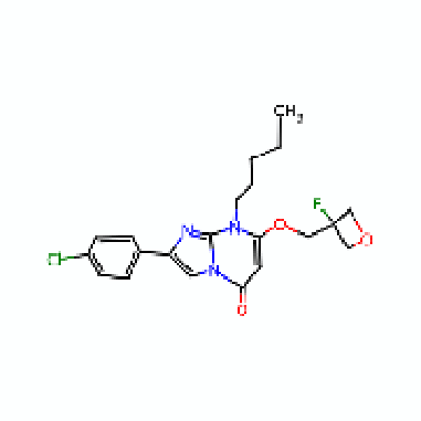 CCCCCn1c(OCC2(F)COC2)cc(=O)n2cc(-c3ccc(Cl)cc3)nc12